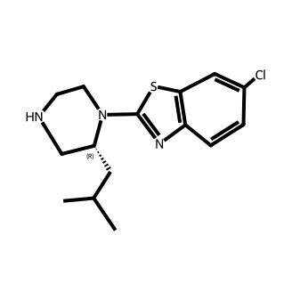 CC(C)C[C@@H]1CNCCN1c1nc2ccc(Cl)cc2s1